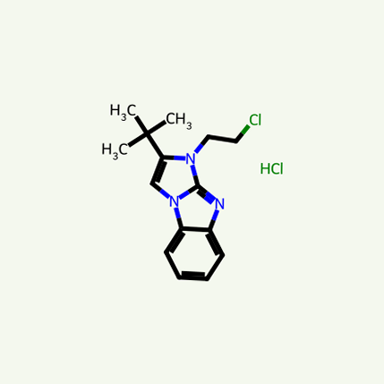 CC(C)(C)c1cn2c3ccccc3nc2n1CCCl.Cl